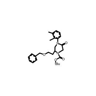 Cc1cccc(N2CC(CCOCc3ccccc3)N(C(=O)OC(C)(C)C)CC2=O)c1C